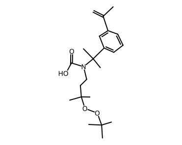 C=C(C)c1cccc(C(C)(C)N(CCC(C)(C)OOC(C)(C)C)C(=O)O)c1